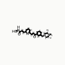 C[C@@H]1CN(Cc2cccc(C(=O)C=Cc3cccc(C=CC(=O)NO)n3)c2)C[C@H](C)N1C